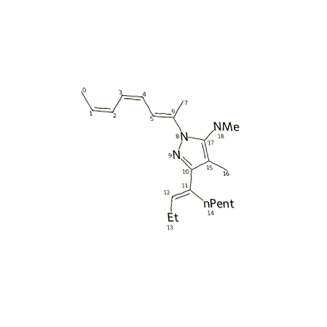 C\C=C/C=C\C=C(/C)n1nc(/C(=C/CC)CCCCC)c(C)c1NC